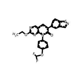 CCOc1ncc2cc(-c3ccc4sncc4c3)c(=O)n(-c3ccc(OC(F)F)cc3)c2n1